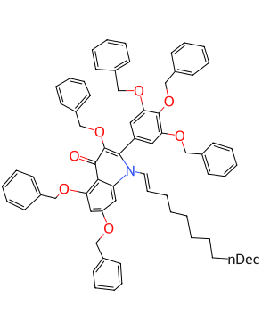 CCCCCCCCCCCCCCCCC=Cn1c(-c2cc(OCc3ccccc3)c(OCc3ccccc3)c(OCc3ccccc3)c2)c(OCc2ccccc2)c(=O)c2c(OCc3ccccc3)cc(OCc3ccccc3)cc21